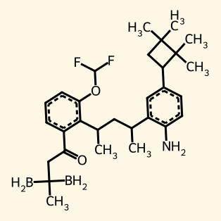 BC(B)(C)CC(=O)c1cccc(OC(F)F)c1C(C)CC(C)c1cc(C2CC(C)(C)C2(C)C)ccc1N